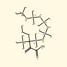 C=C(C(=O)O)C(CCC)([Si](C)(C)C)[Si](C)(C)O[Si](C)(C)O[Si](C)(C)O[Si](C)(C)O[SiH](C)C